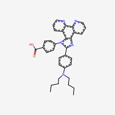 CCCCN(CCCC)c1ccc(-c2nc3c4cccnc4c4ncccc4c3n2-c2ccc(C(=O)O)cc2)cc1